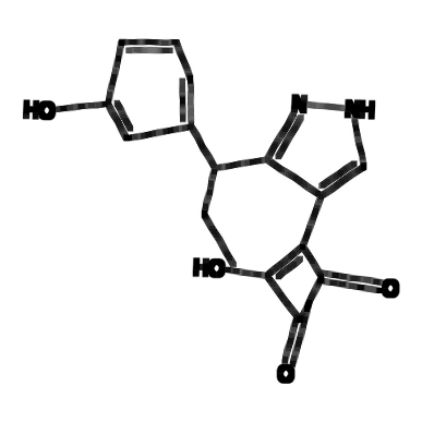 CCC(c1cccc(O)c1)c1n[nH]cc1-c1c(O)c(=O)c1=O